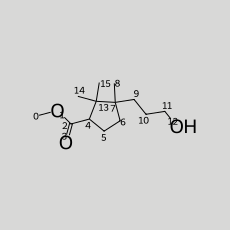 COC(=O)C1CCC(C)(CCCO)C1(C)C